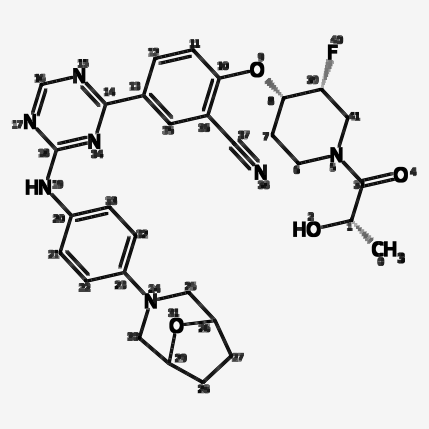 C[C@H](O)C(=O)N1CC[C@H](Oc2ccc(-c3ncnc(Nc4ccc(N5CC6CCC(C5)O6)cc4)n3)cc2C#N)[C@H](F)C1